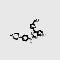 CN1CCN(c2ccc(Nc3nc(-c4ccc(C=O)s4)c4cc[nH]c4n3)cc2)CC1